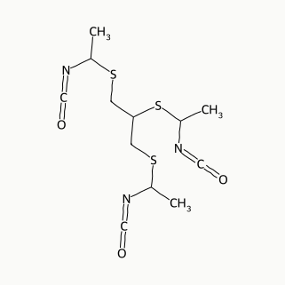 CC(N=C=O)SCC(CSC(C)N=C=O)SC(C)N=C=O